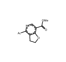 COC(=O)c1cnc(C(C)=O)c2c1OCC2